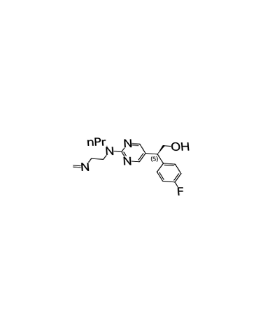 C=NCCN(CCC)c1ncc([C@@H](CO)c2ccc(F)cc2)cn1